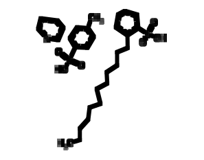 CCCCCCCCCCCCc1ccccc1S(=O)(=O)O.Cc1ccc(S(=O)(=O)O)cc1.c1ccncc1